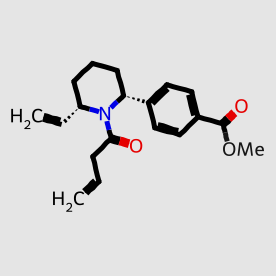 C=CCC(=O)N1[C@H](C=C)CCC[C@@H]1c1ccc(C(=O)OC)cc1